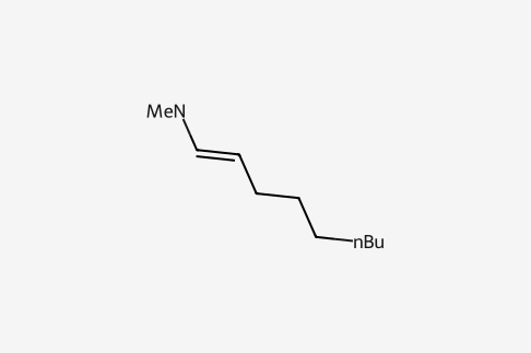 CCCCCCCC=CNC